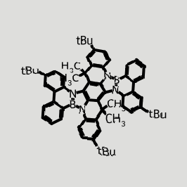 CC(C)(C)C1=CCC2C(=C1)c1ccccc1B1N3c4ccc(C(C)(C)C)cc4C(C)(C)c4c5c6c(c(c43)N12)C(C)(C)c1cc(C(C)(C)C)ccc1N6B1c2ccccc2-c2cc(C(C)(C)C)ccc2N15